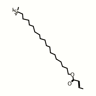 CC=CC(=O)OCCCCCCCCCCCCCCCCCC[Si](C)(C)I